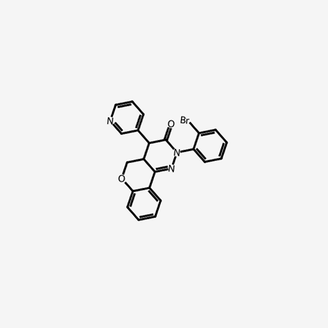 O=C1C(c2cccnc2)C2COc3ccccc3C2=NN1c1ccccc1Br